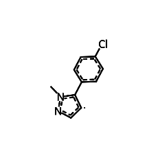 Cn1nc[c]c1-c1ccc(Cl)cc1